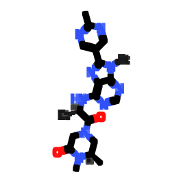 CC[C@H](Nc1ncnc2c1nc(-c1cnc(C)nc1)n2CC)C(=O)N1CC(=O)N(C)[C@H](C)C1